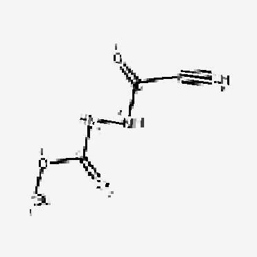 C#CC(=O)NNC(=O)OC(C)(C)C